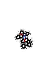 CC1(C)c2cc(N(c3ccccc3-c3ccccc3)c3ccc4ccccc4c3-c3ccccc3)ccc2-c2c(-c3ccccc3)cccc21